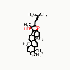 CC[C@H]1CC[C@@]2(C)C(CCC3(C)C2CCC2C4C5(CCC23C5)OC(CC=C(C)C)C4(C)O)C1(C)C